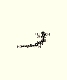 Cc1cccc2c(O)cc3c(c12)[C@H](CCl)CN3C(=O)c1cc2cc(NC(=O)c3ccc(OCCOCCOCCOCCO)cc3)ncc2[nH]1